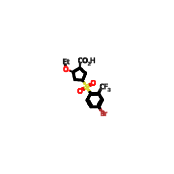 CCO[C@H]1C[C@H](S(=O)(=O)c2ccc(Br)cc2C(F)(F)F)C[C@@H]1C(=O)O